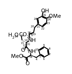 COC(=O)[C@H](Cc1ccccc1)NC(=O)[C@H](CC(=O)O)NCCCc1ccc(OC)c(O)c1.O